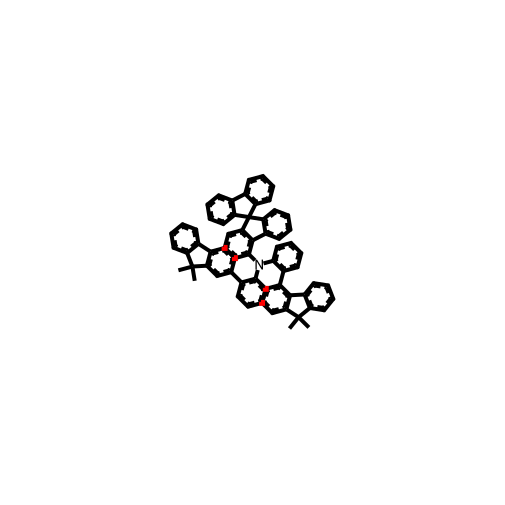 CC1(C)c2ccccc2-c2ccc(-c3ccccc3N(c3ccccc3-c3cccc4c3-c3ccccc3C4(C)C)c3cccc4c3-c3ccccc3C43c4ccccc4-c4ccccc43)cc21